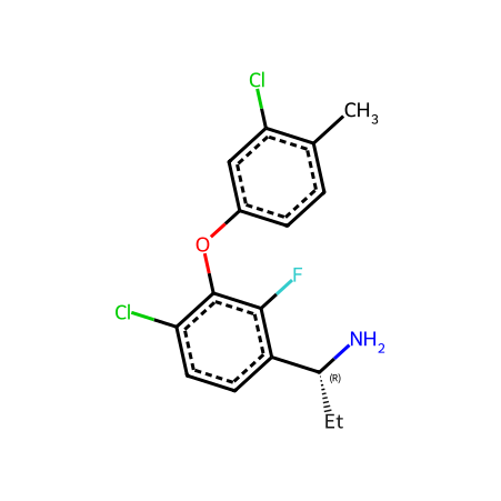 CC[C@@H](N)c1ccc(Cl)c(Oc2ccc(C)c(Cl)c2)c1F